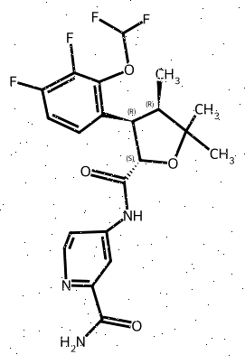 C[C@@H]1[C@H](c2ccc(F)c(F)c2OC(F)F)[C@@H](C(=O)Nc2ccnc(C(N)=O)c2)OC1(C)C